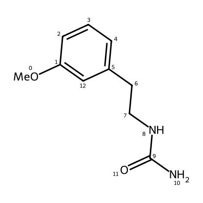 COc1cccc(CCNC(N)=O)c1